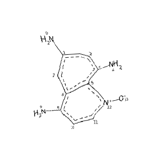 Nc1cc(N)c2c(c1)c(N)cc[n+]2[O-]